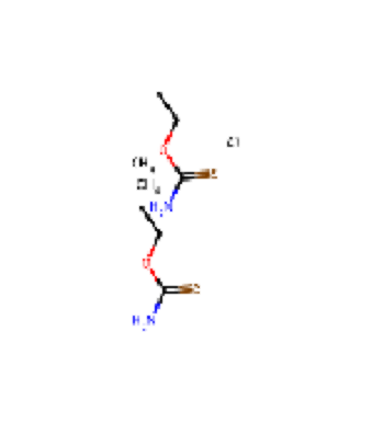 C.C.CCOC(N)=S.CCOC(N)=S.[Zn]